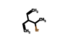 C=CC(C=C)C(C)Br